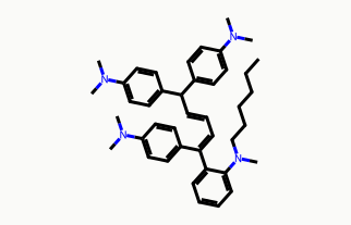 CCCCCCN(C)c1ccccc1C(=CC=CC(c1ccc(N(C)C)cc1)c1ccc(N(C)C)cc1)c1ccc(N(C)C)cc1